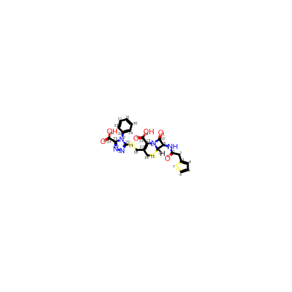 O=C(Cc1cccs1)NC1C(=O)N2C(C(=O)O)=C(CSc3nnc(C(=O)O)n3-c3ccccc3)CS[C@@H]12